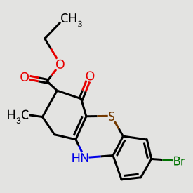 CCOC(=O)C1C(=O)C2=C(CC1C)Nc1ccc(Br)cc1S2